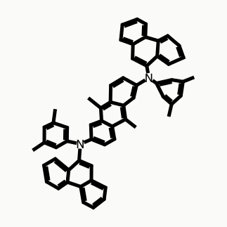 Cc1cc(C)cc(N(c2ccc3c(C)c4cc(N(c5cc(C)cc(C)c5)c5cc6ccccc6c6ccccc56)ccc4c(C)c3c2)c2cc3ccccc3c3ccccc23)c1